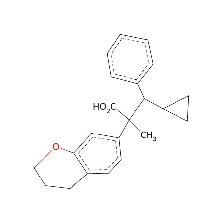 CC(C(=O)O)(c1ccc2c(c1)OCCC2)C(c1ccccc1)C1CC1